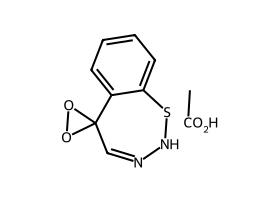 C1=NNSc2ccccc2C12OO2.CC(=O)O